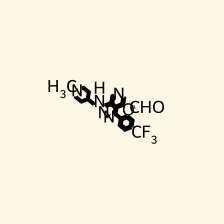 CN1CCC(CNc2nnc(-c3ccc(C(F)(F)F)cc3OC=O)c3ccncc23)CC1